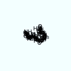 Cc1cc(C(=O)N2CCC(CN3CCN(Cc4ccc5c(c4)C(C)(C)C(=O)N5C4CCC(=O)NC4=O)C[C@@H]3C)CC2)cc(F)c1C1=CCN([C@@H](C)c2cc3c(-n4ccc5c(c4=O)CCN5)ccnc3n2C)CC1